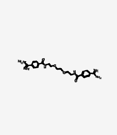 N=C(N)c1ccc(C(=O)NCCOCCOCCNC(=O)c2ccc(C(=N)N)cc2)cc1